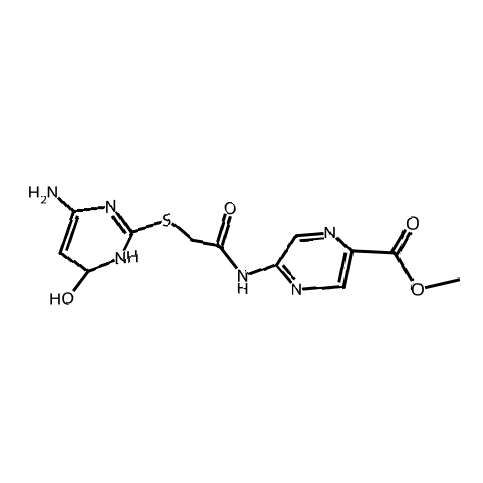 COC(=O)c1cnc(NC(=O)CSC2=NC(N)=CC(O)N2)cn1